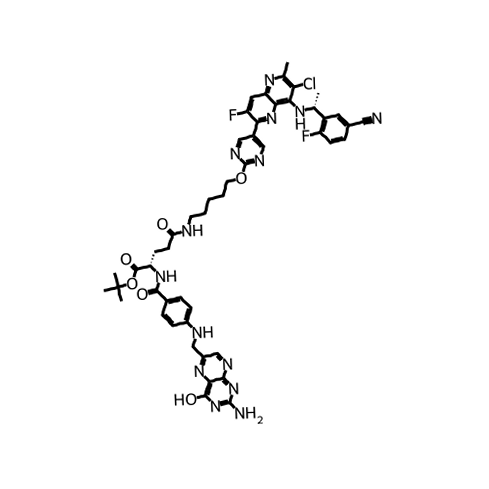 Cc1nc2cc(F)c(-c3cnc(OCCCCCNC(=O)CC[C@H](NC(=O)c4ccc(NCc5cnc6nc(N)nc(O)c6n5)cc4)C(=O)OC(C)(C)C)nc3)nc2c(N[C@H](C)c2cc(C#N)ccc2F)c1Cl